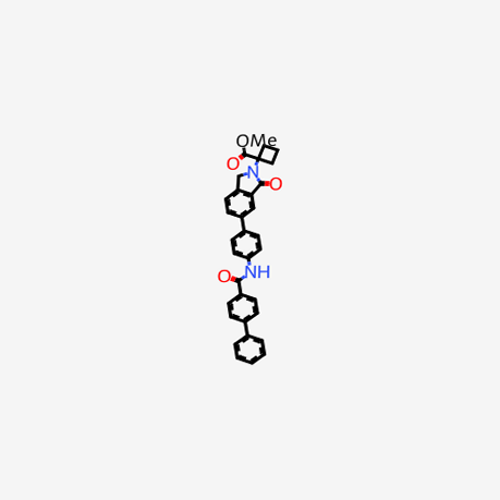 COC(=O)C1(N2Cc3ccc(-c4ccc(NC(=O)c5ccc(-c6ccccc6)cc5)cc4)cc3C2=O)CCC1